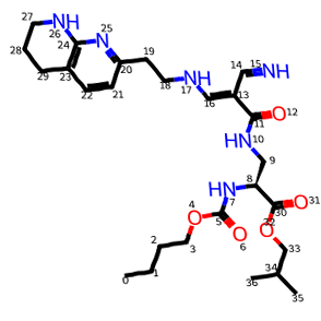 CCCCOC(=O)N[C@@H](CNC(=O)/C(C=N)=C/NCCc1ccc2c(n1)NCCC2)C(=O)OCC(C)C